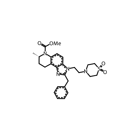 COC(=O)N1c2ccc3c(nc(Cc4ccccc4)n3CCN3CCS(=O)(=O)CC3)c2CC[C@@H]1C